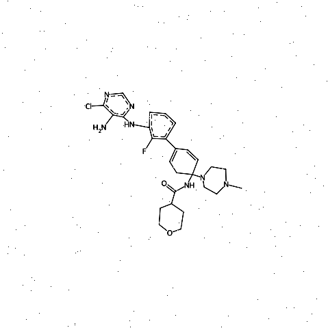 CN1CCN(C2(NC(=O)C3CCOCC3)C=CC(c3cccc(Nc4ncnc(Cl)c4N)c3F)=CC2)CC1